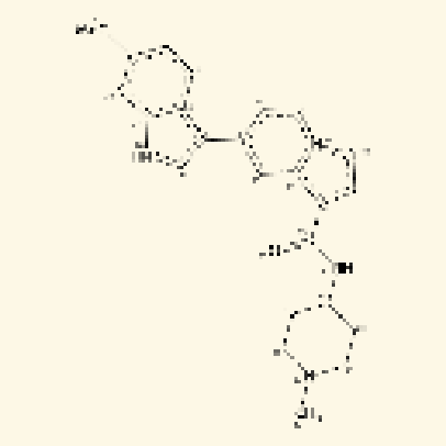 COc1ccc2c(-c3ccn4ncc(C(=O)NC5CCN(C)CC5)c4c3)c[nH]c2n1